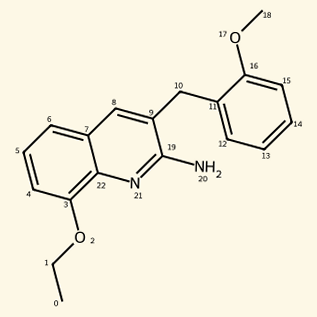 CCOc1cccc2cc(Cc3ccccc3OC)c(N)nc12